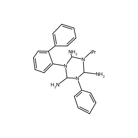 CC(C)N1C(N)N(c2ccccc2)C(N)N(c2ccccc2-c2ccccc2)C1N